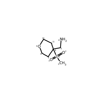 CS(=O)(=O)C1(CN)CCOCC1